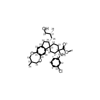 COC(=O)C1(Nc2cccc(Cl)c2)CCC2(CC1)c1cc3c(cc1C[C@@H]2C[C@@H](C)CO)OCC(C)CO3